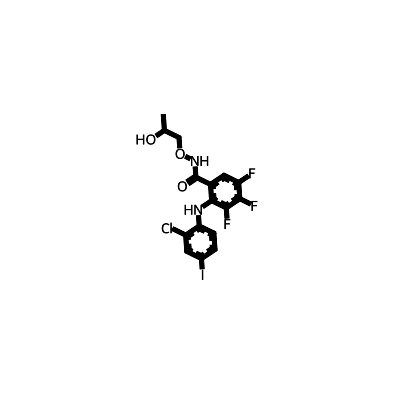 CC(O)CONC(=O)c1cc(F)c(F)c(F)c1Nc1ccc(I)cc1Cl